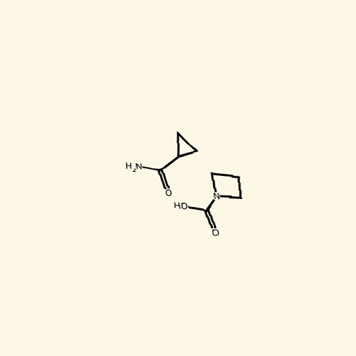 NC(=O)C1CC1.O=C(O)N1CCC1